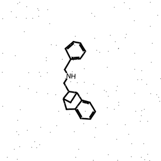 c1ccc(CNCC2C3Cc4ccccc4C2C3)cc1